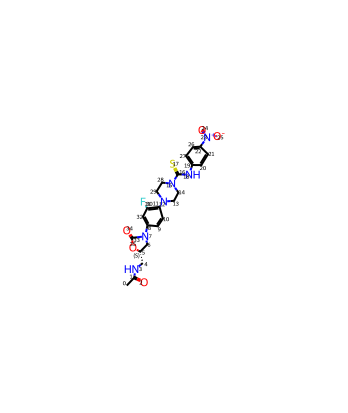 CC(=O)NC[C@H]1CN(c2ccc(N3CCN(C(=S)Nc4ccc([N+](=O)[O-])cc4)CC3)c(F)c2)C(=O)O1